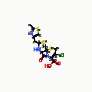 Cc1nc(CC(=S)N[C@@H]2C(=O)N3C(C(=O)O)=C(Cl)CS[C@@H]23)cs1